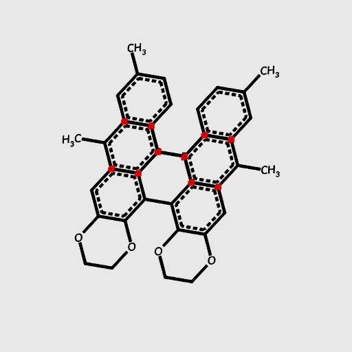 Cc1ccc(P(c2ccc(C)cc2)c2ccc3c(c2-c2c(P(c4ccc(C)cc4)c4ccc(C)cc4)ccc4c2OCCO4)OCCO3)cc1